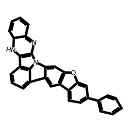 C1=CC2=Nc3c(c4cccc5c6cc7c(cc6n3c45)oc3cc(-c4ccccc4)ccc37)NC2C=C1